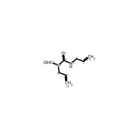 C=CCNC(=O)N(C=O)CC=C